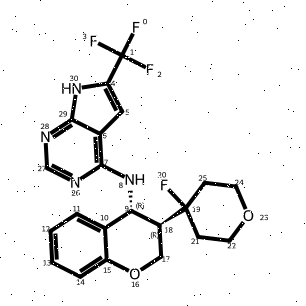 FC(F)(F)c1cc2c(N[C@H]3c4ccccc4OC[C@@H]3C3(F)CCOCC3)ncnc2[nH]1